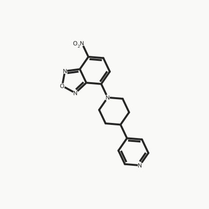 O=[N+]([O-])c1ccc(N2CCC(c3ccncc3)CC2)c2nonc12